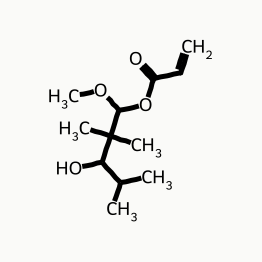 C=CC(=O)OC(OC)C(C)(C)C(O)C(C)C